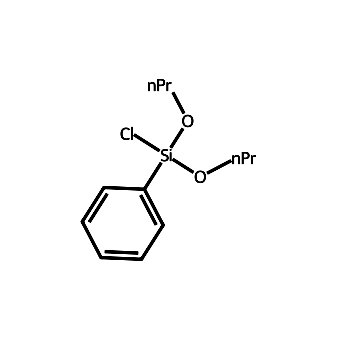 CCCO[Si](Cl)(OCCC)c1ccccc1